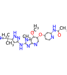 COc1c(Oc2ccnc(NC(C)=O)c2)cnc2nc(Nc3cc(C(C)(C)C#N)[nH]n3)n(C)c12